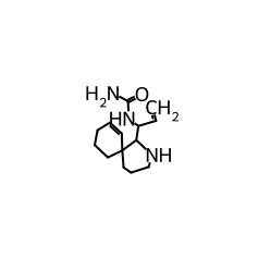 C=CC(NC(N)=O)C1NCCCC12C=CCCC2